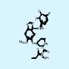 C=CC(=O)N(C(=O)[C@@H]1C[C@@H](Oc2cc3c(Nc4ccc(F)c(Cl)c4F)ncnc3cc2OC)CCN1)C(C)C